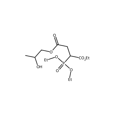 CCOC(=O)C(CC(=O)OCC(C)O)P(=O)(OCC)OCC